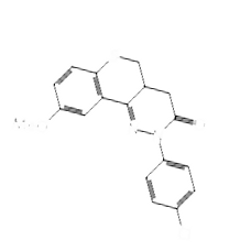 COc1ccc2c(c1)C1=NN(c3ccc(Cl)cc3)C(=O)CC1CS2